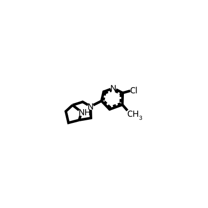 Cc1cc(N2CC3CCC(C2)N3)cnc1Cl